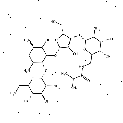 CC(C)C(=O)NCC1O[C@H](O[C@@H]2C(O)[C@H](O[C@@H]3C(O)[C@H](N)CC(N)[C@H]3O[C@H]3OC(CN)[C@@H](O)[C@H](O)C3N)O[C@@H]2CO)C(N)[C@H](O)[C@@H]1O